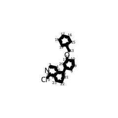 Clc1nccc2c(-c3cccc(OCc4ccccc4)c3)cccc12